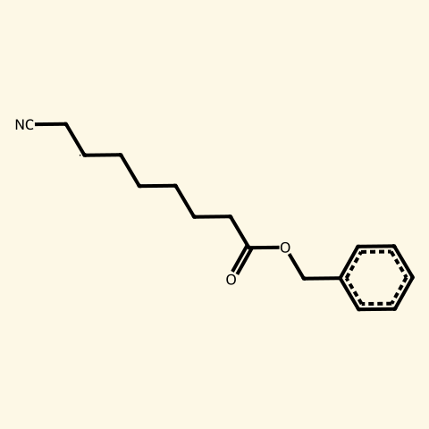 N#CC[CH]CCCCCC(=O)OCc1ccccc1